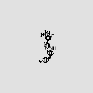 CCN1CCN(Cc2cnc(Nc3cc(-c4cc(F)c5nc(C)n(C(C)C)c5c4)ncn3)nc2)CC1